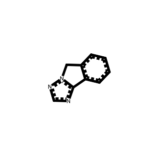 c1ccc2c(c1)Cn1ncnc1-2